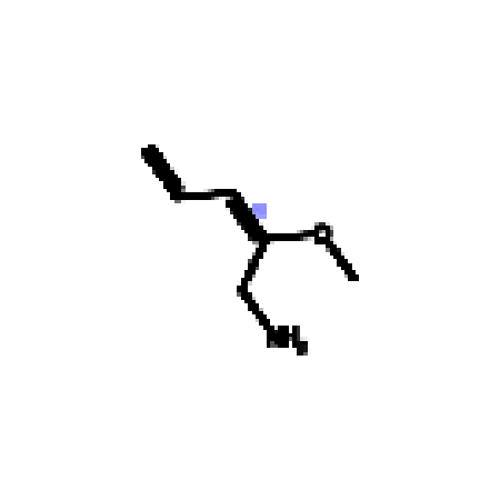 C=C/C=C(\CN)OC